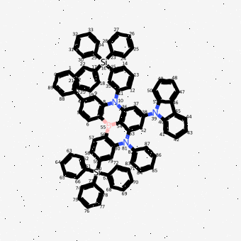 c1ccc(-c2ccc3c(c2)N(c2cccc([Si](c4ccccc4)(c4ccccc4)c4ccccc4)c2)c2cc(-n4c5ccccc5c5ccccc54)cc4c2B3c2ccc([Si](c3ccccc3)(c3ccccc3)c3ccccc3)cc2N4c2ccccc2)cc1